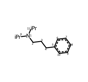 CC(C)N(CCCc1cc[c]cc1)C(C)C